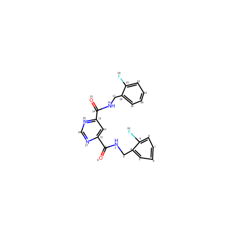 O=C(NCc1ccccc1F)c1cc(C(=O)NCc2ccccc2F)ncn1